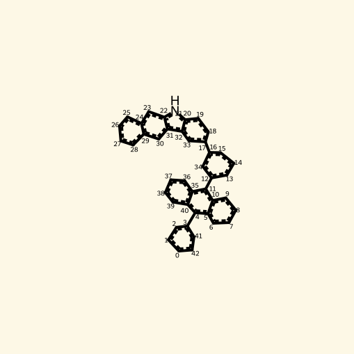 c1ccc(-c2c3ccccc3c(-c3cccc(-c4ccc5[nH]c6cc7ccccc7cc6c5c4)c3)c3ccccc23)cc1